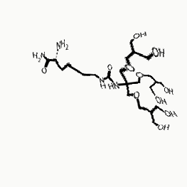 NC(=O)[C@H](N)CCCCNC(=O)NC(COCC(CO)CO)(COCC(CO)CO)COCC(CO)CO